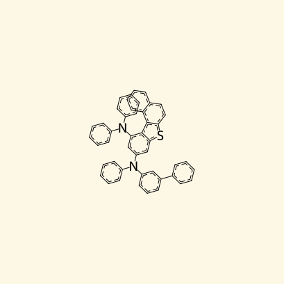 c1ccc(-c2cccc(N(c3ccccc3)c3cc(N(c4ccccc4)c4ccccc4)c4c(c3)sc3ccc5ccccc5c34)c2)cc1